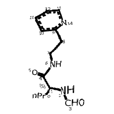 CCC[C@H](NC=O)C(=O)NCCc1ccccn1